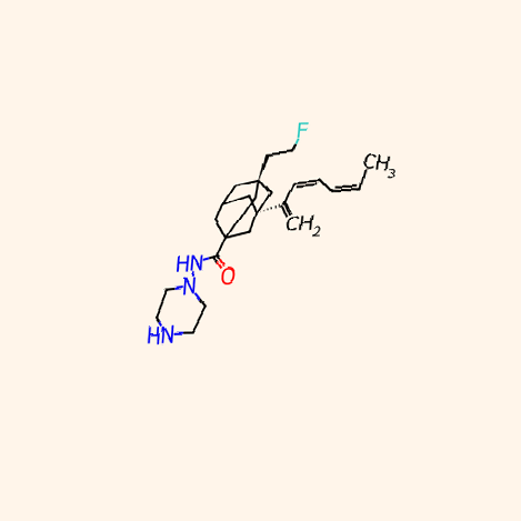 C=C(/C=C\C=C/C)[C@]12CC3CC(C(=O)NN4CCNCC4)(C[C@](CCF)(C3)C1)C2